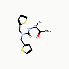 CCCC[C@H](NC(=O)N(Cc1cccs1)Cc1cccs1)C(=O)OC